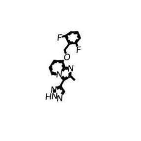 Cc1nc2c(OCc3c(F)cccc3F)cccn2c1-c1cn[nH]n1